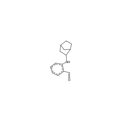 O=Cc1ccccc1NC1CC2CCC1C2